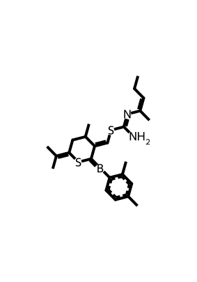 CC/C=C(C)\N=C(/N)S/C=C1/C(=B/c2ccc(C)cc2C)SC(=C(C)C)CC1C